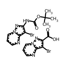 CC(C)(C)OC(=O)Nc1nn2cccnc2c1Br.O=C(O)c1nn2cccnc2c1Br